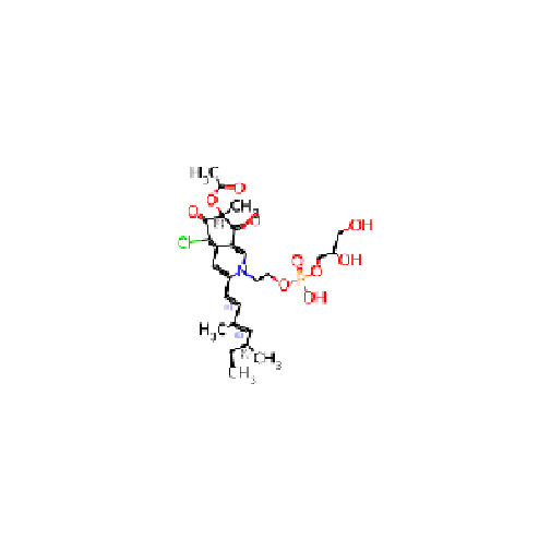 CC[C@H](C)/C=C(C)/C=C/C1=CC2=C(Cl)C(=O)[C@](C)(OC(C)=O)C(=O)C2=CN1CCOP(=O)(O)OCC(O)CO